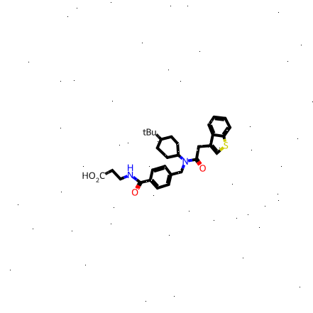 CC(C)(C)C1CCC(N(Cc2ccc(C(=O)NCCC(=O)O)cc2)C(=O)Cc2csc3ccccc23)CC1